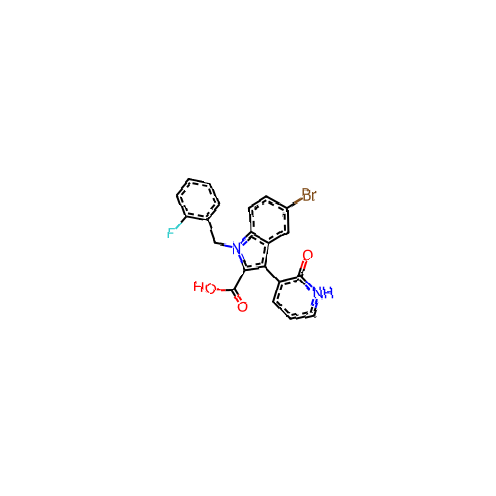 O=C(O)c1c(-c2ccc[nH]c2=O)c2cc(Br)ccc2n1Cc1ccccc1F